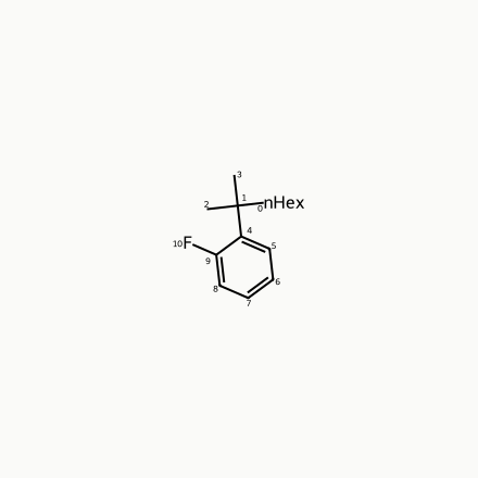 CCCCCCC(C)(C)c1ccccc1F